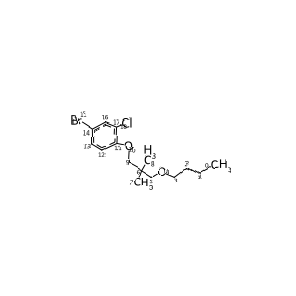 CCCCOCC(C)(C)COc1ccc(Br)cc1Cl